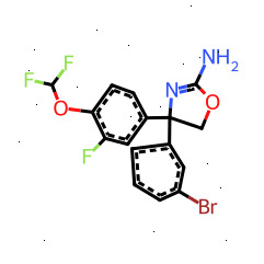 NC1=NC(c2cccc(Br)c2)(c2ccc(OC(F)F)c(F)c2)CO1